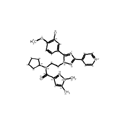 COc1ccc(-c2nc(-c3ccncc3)nn2CCN(C(=O)c2cc(C)n(C)n2)C2CCCC2)cc1Cl